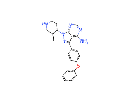 C[C@H]1CNCCC1n1nc(-c2ccc(Oc3ccccc3)cc2)c2c(N)ncnc21